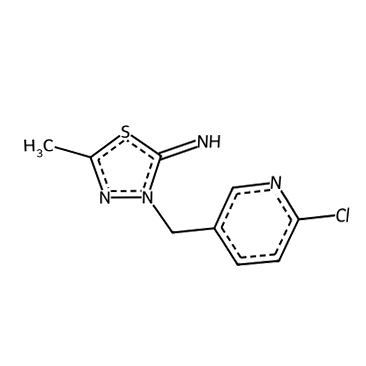 Cc1nn(Cc2ccc(Cl)nc2)c(=N)s1